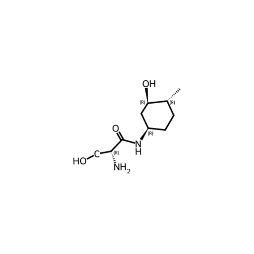 C[C@@H]1CC[C@@H](NC(=O)[C@H](N)CO)C[C@H]1O